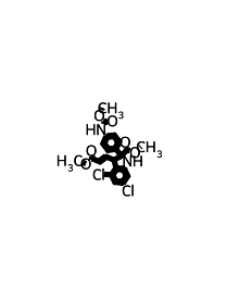 COC(=O)C=CC1c2c(Cl)cc(Cl)cc2NC1(C(=O)OC)c1ccc(NC(=O)OC)cc1